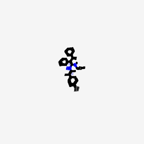 C=C=CN(C)/C(N/C(C)=C(\C)c1ccc(CC)cc1)=C(\C(=C)c1ccccc1)c1ccccc1